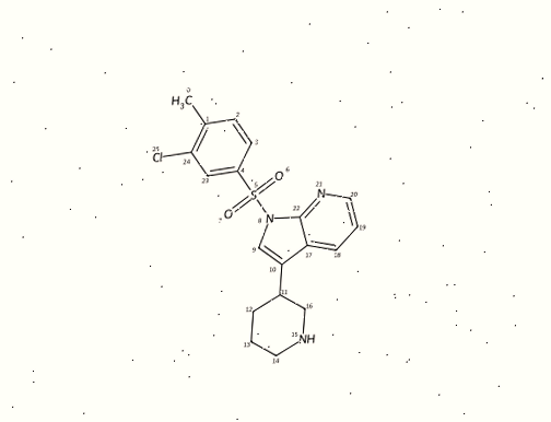 Cc1ccc(S(=O)(=O)n2cc(C3CCCNC3)c3cccnc32)cc1Cl